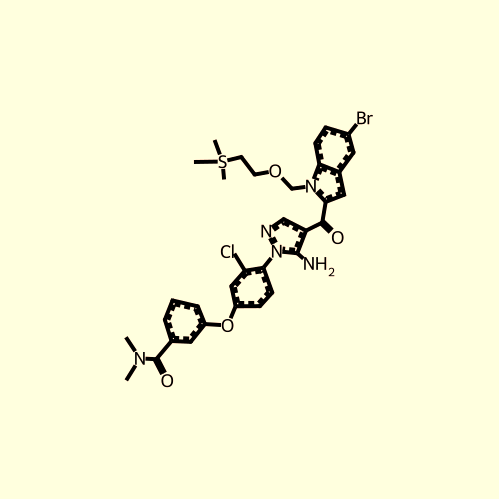 CN(C)C(=O)c1cccc(Oc2ccc(-n3ncc(C(=O)c4cc5cc(Br)ccc5n4COCCS(C)(C)C)c3N)c(Cl)c2)c1